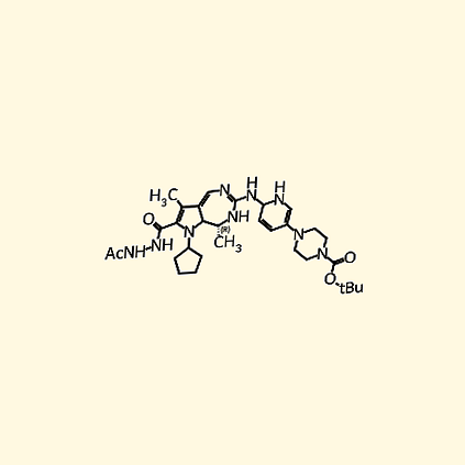 CC(=O)NNC(=O)C1=C(C)C2=CN=C(NC3C=CC(N4CCN(C(=O)OC(C)(C)C)CC4)=CN3)N[C@H](C)C2N1C1CCCC1